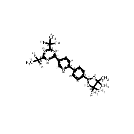 CC1(C)OB(c2ccc(-c3ccc(-c4nc(C(F)(F)C(F)(F)F)nc(C(F)(F)C(F)(F)F)n4)cn3)cc2)OC1(C)C